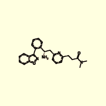 CN(C)C(=O)CCc1cccc(C[C@H](N)c2ccccc2-c2noc3ccccc23)n1